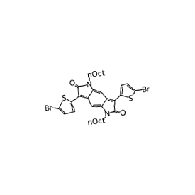 CCCCCCCCN1C(=O)C(c2ccc(Br)s2)=c2cc3c(cc21)=C(c1ccc(Br)s1)C(=O)N3CCCCCCCC